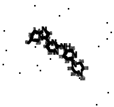 Cc1ccc2ncc(-c3ccnc(Nc4ccc(N5CCN(C)CC5)nc4)n3)n2c1